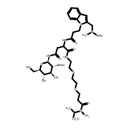 CNN(C)Cc1cc2ccccc2n1CCC(=O)NC(CC(=O)N[C@@H]1O[C@H](CO)[C@@H](O)[C@H](O)[C@H]1NC(C)=O)C(=O)NCCOCCOCCC(=O)N(C)C(C)C(=O)O